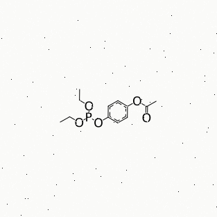 CCOP(OCC)Oc1ccc(OC(C)=O)cc1